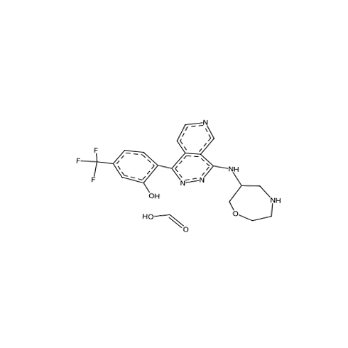 O=CO.Oc1cc(C(F)(F)F)ccc1-c1nnc(NC2CNCCOC2)c2cnccc12